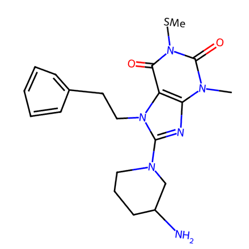 CSn1c(=O)c2c(nc(N3CCCC(N)C3)n2CCc2ccccc2)n(C)c1=O